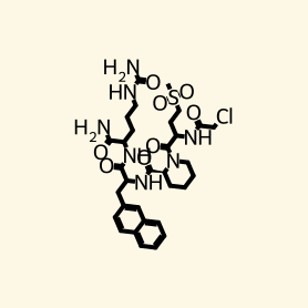 CS(=O)(=O)CCC(NC(=O)CCl)C(=O)N1CCCC[C@H]1C(=O)NC(Cc1ccc2ccccc2c1)C(=O)NC(CCCNC(N)=O)C(N)=O